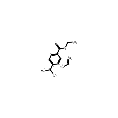 C=CC.CCOC(=O)c1ccc(C(C)C)cc1